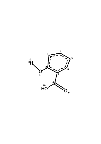 [3H]Oc1ccccc1C(=O)O